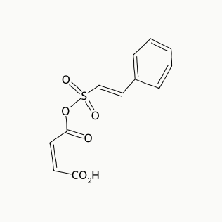 O=C(O)/C=C\C(=O)OS(=O)(=O)C=Cc1ccccc1